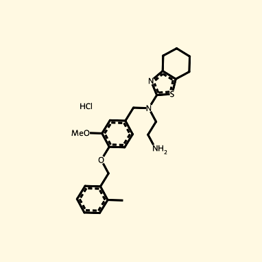 COc1cc(CN(CCN)c2nc3c(s2)CCCC3)ccc1OCc1ccccc1C.Cl